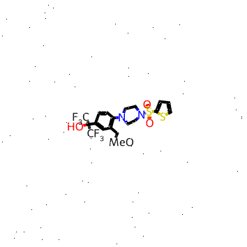 COCc1cc(C(O)(C(F)(F)F)C(F)(F)F)ccc1N1CCN(S(=O)(=O)c2cccs2)CC1